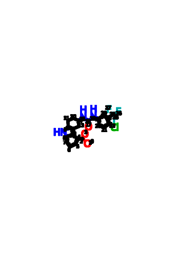 COC(=O)c1cccc2[nH]c3c(c12)CC(NC(=O)Nc1ccc(Cl)c(C(F)(F)F)c1)CC3